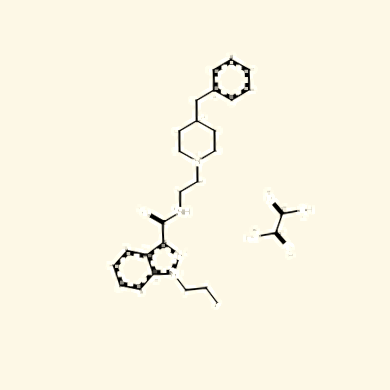 CCCn1nc(C(=O)NCCN2CCC(Cc3ccccc3)CC2)c2ccccc21.O=C(O)C(=O)O